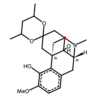 COc1ccc2c(c1O)[C@]13CCN(C)[C@H](C2)C1(O)CCC1(C3)OC(C)CC(C)O1